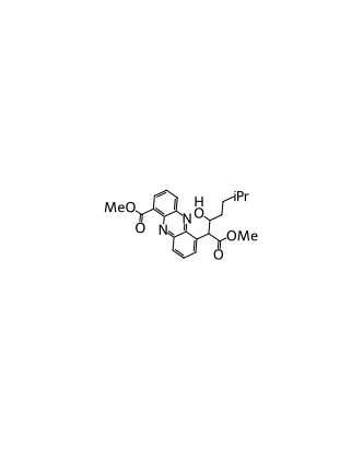 COC(=O)c1cccc2nc3c(C(C(=O)OC)C(O)CCC(C)C)cccc3nc12